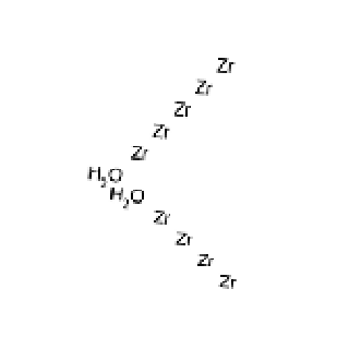 O.O.[Zr].[Zr].[Zr].[Zr].[Zr].[Zr].[Zr].[Zr].[Zr]